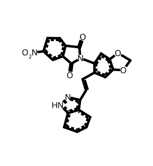 O=C1c2ccc([N+](=O)[O-])cc2C(=O)N1c1cc2c(cc1C=Cc1n[nH]c3ccccc13)OCO2